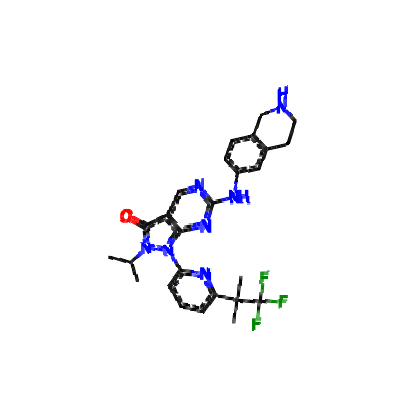 CC(C)n1c(=O)c2cnc(Nc3ccc4c(c3)CCNC4)nc2n1-c1cccc(C(C)(C)C(F)(F)F)n1